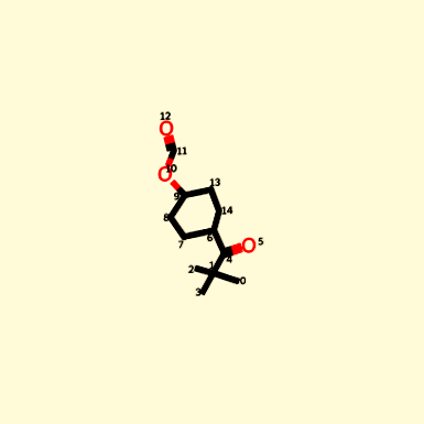 CC(C)(C)C(=O)C1CCC(OC=O)CC1